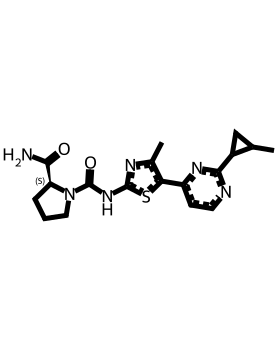 Cc1nc(NC(=O)N2CCC[C@H]2C(N)=O)sc1-c1ccnc(C2CC2C)n1